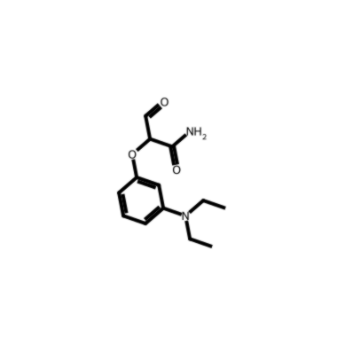 CCN(CC)c1cccc(OC(C=O)C(N)=O)c1